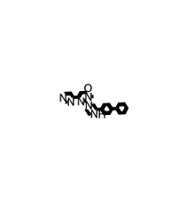 Cn1c(N2CCNC(c3ccc(-c4ccccc4)cc3)C2)nc(-c2ccncn2)cc1=O